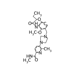 CCC1Oc2ccc(CN3CCN(c4ccc(C(=O)NC)nc4C)CC3)c(OC)c2NC1=O